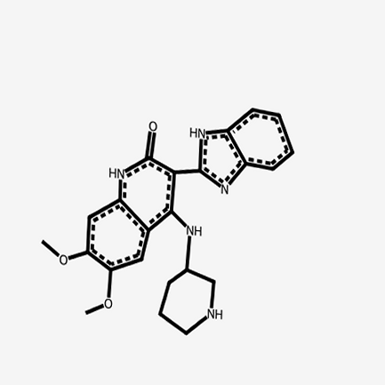 COc1cc2[nH]c(=O)c(-c3nc4ccccc4[nH]3)c(NC3CCCNC3)c2cc1OC